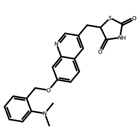 CN(C)c1ccccc1COc1ccc2cc(CC3SC(=O)NC3=O)cnc2c1